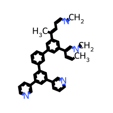 C=N/C=C\C=C(/C)c1cc(C(/C=C\C)=C/N=C)cc(-c2cccc(-c3cc(-c4cccnc4)cc(-c4cccnc4)c3)c2)c1